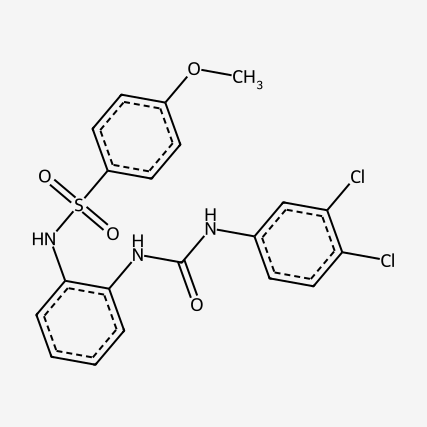 COc1ccc(S(=O)(=O)Nc2ccccc2NC(=O)Nc2ccc(Cl)c(Cl)c2)cc1